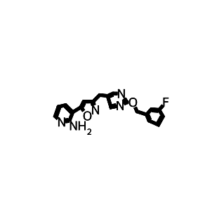 Nc1ncccc1-c1cc(Cc2cnc(OCc3cccc(F)c3)nc2)no1